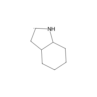 [CH]1CC2CCCCC2N1